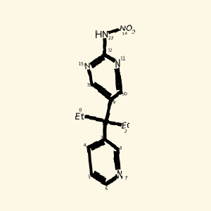 CCC(CC)(c1cccnc1)c1cnc(N[N+](=O)[O-])nc1